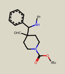 CC(C)NC(c1ccccc1)C1(C=O)CCN(C(=O)OC(C)(C)C)CC1